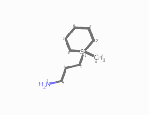 C[Si]1(CCCN)CCCCC1